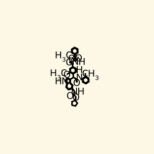 COc1cc(C(=O)NS(=O)(=O)c2ccccc2C)ccc1C(C(=O)Nc1ccccc1C)c1c[nH]c2ccc(NC(=O)OC3CCCC3)cc12